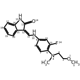 COCCN(C)c1ccc(NC=C2C(=O)Nc3ccccc32)cc1F